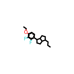 CCCC1CCC2C(c3ccc(OCC)c(F)c3F)CCC12